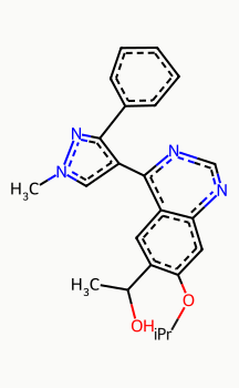 CC(C)Oc1cc2ncnc(-c3cn(C)nc3-c3ccccc3)c2cc1C(C)O